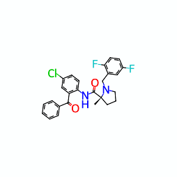 C[C@]1(C(=O)Nc2ccc(Cl)cc2C(=O)c2ccccc2)CCCN1Cc1cc(F)ccc1F